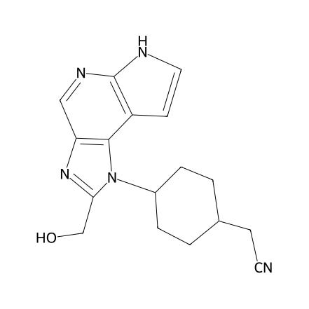 N#CCC1CCC(n2c(CO)nc3cnc4[nH]ccc4c32)CC1